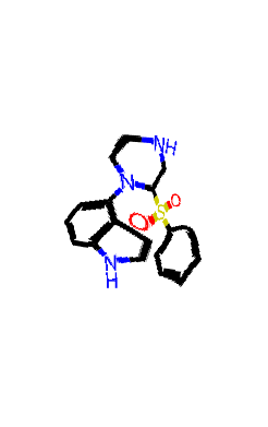 O=S(=O)(c1ccccc1)C1CNCCN1c1cccc2c1CCN2